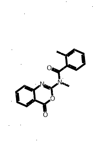 Cc1ccccc1C(=O)N(C)c1nc2ccccc2c(=O)o1